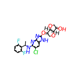 CC(Nc1nc2nc(O[C@@H]3CO[C@H]4[C@@H]3OC[C@H]4O)[nH]c2cc1Cl)c1c(F)cccc1F